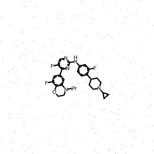 CC(C)N1CCOc2c(F)cc(-c3nc(Nc4ccc(C5CCN(C6CC6)CC5)c(F)c4)ncc3F)cc21